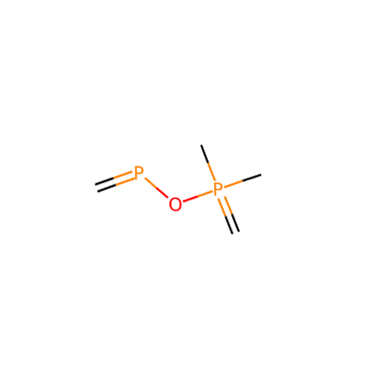 C=POP(=C)(C)C